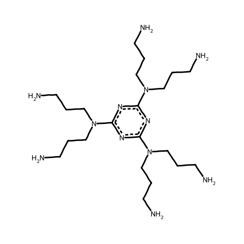 NCCCN(CCCN)c1nc(N(CCCN)CCCN)nc(N(CCCN)CCCN)n1